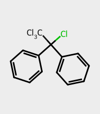 ClC(Cl)(Cl)C(Cl)(c1ccccc1)c1ccccc1